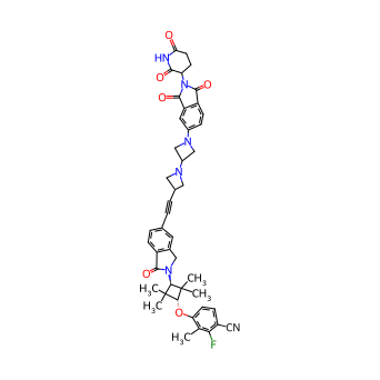 Cc1c(O[C@H]2C(C)(C)[C@H](N3Cc4cc(C#CC5CN(C6CN(c7ccc8c(c7)C(=O)N(C7CCC(=O)NC7=O)C8=O)C6)C5)ccc4C3=O)C2(C)C)ccc(C#N)c1F